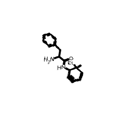 CCC1(C)C=CC=CC1NC(=O)C(N)Cc1ccccc1